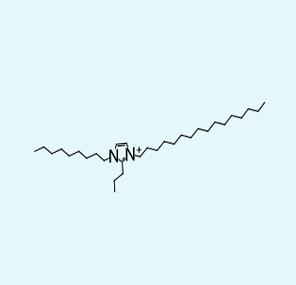 CCCCCCCCCCCCCCCC[n+]1ccn(CCCCCCCCC)c1CCC